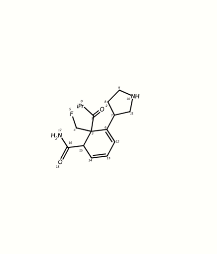 CC(C)C(=O)C1(CF)C(C2CCNC2)=CC=CC1C(N)=O